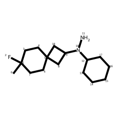 CC1(F)CCC2(CC1)CC(N(N)C1CCCCC1)C2